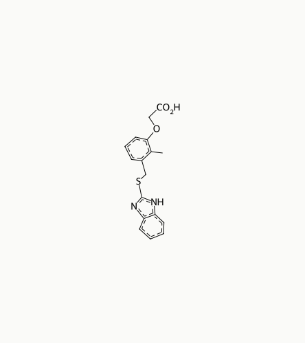 Cc1c(CSc2nc3ccccc3[nH]2)cccc1OCC(=O)O